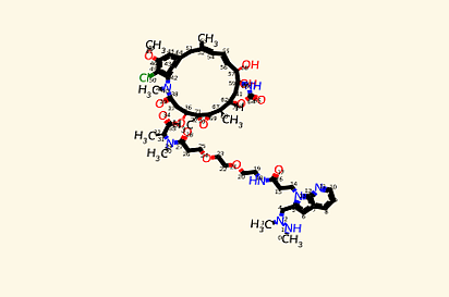 CNN(C)Cc1cc2cccnc2n1CCC(=O)NCCOCCOCCC(=O)N(C)[C@@H](C)C(=O)O[C@H]1CC(=O)N(C)c2cc(cc(OC)c2Cl)C/C(C)=C/C=C/[C@@H](O)[C@@]2(O)C[C@H](OC(=O)N2)[C@@H](C)C2O[C@]21C